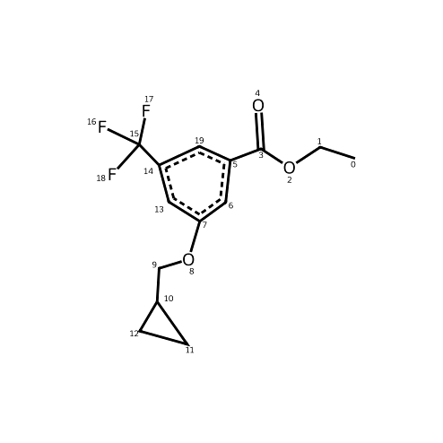 CCOC(=O)c1cc(OCC2CC2)cc(C(F)(F)F)c1